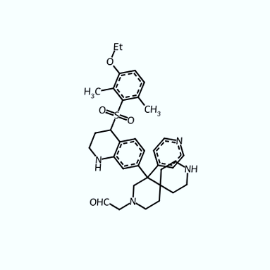 CCOc1ccc(C)c(S(=O)(=O)C2CCNc3cc(C4(c5ccncc5)CN(CC=O)CCC45CCNCC5)ccc32)c1C